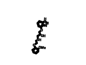 COc1ccccc1OCCNC[C@@H](O)COc1cccc2[nH]nnc12